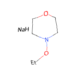 CCON1CCOCC1.[NaH]